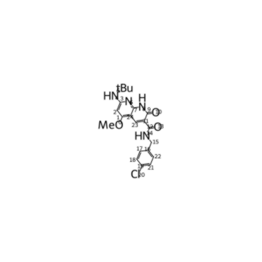 COc1cc(NC(C)(C)C)nc2[nH]c(=O)c(C(=O)NCc3ccc(Cl)cc3)cc12